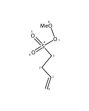 C=CCCS(=O)(=O)OOC